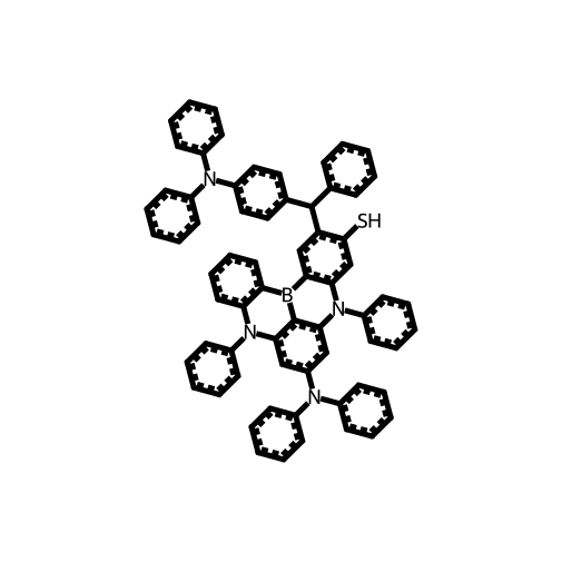 Sc1cc2c(cc1C(c1ccccc1)c1ccc(N(c3ccccc3)c3ccccc3)cc1)B1c3ccccc3N(c3ccccc3)c3cc(N(c4ccccc4)c4ccccc4)cc(c31)N2c1ccccc1